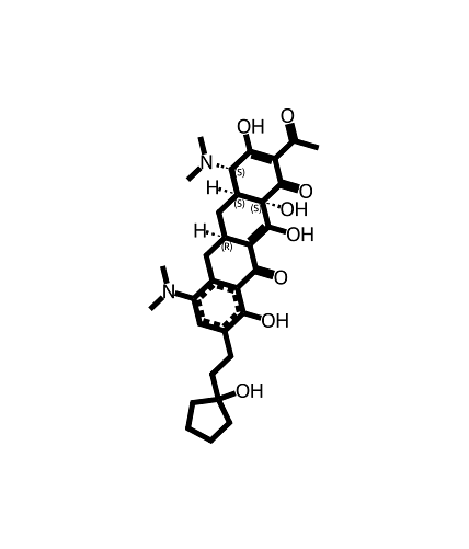 CC(=O)C1=C(O)[C@@H](N(C)C)[C@@H]2C[C@@H]3Cc4c(N(C)C)cc(CCC5(O)CCCC5)c(O)c4C(=O)C3=C(O)[C@]2(O)C1=O